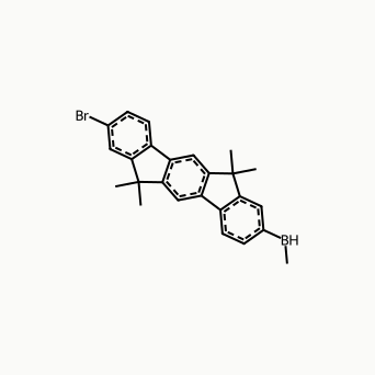 CBc1ccc2c(c1)C(C)(C)c1cc3c(cc1-2)C(C)(C)c1cc(Br)ccc1-3